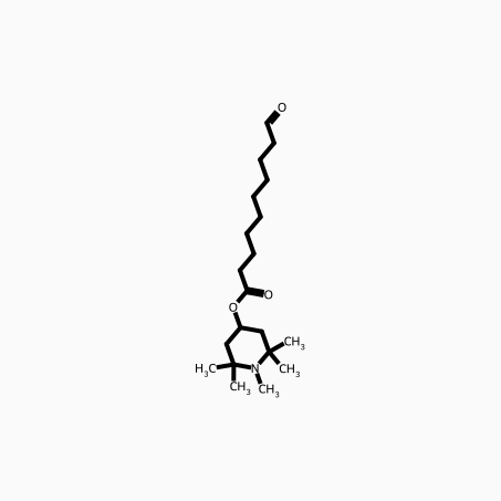 CN1C(C)(C)CC(OC(=O)CCCCCCCCC=O)CC1(C)C